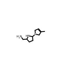 CC1=CCN(C2CCC(CN)N2)C1